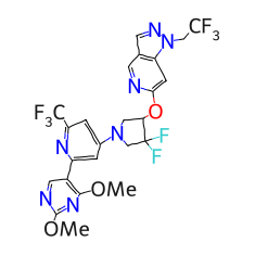 COc1ncc(-c2cc(N3CC(Oc4cc5c(cn4)cnn5CC(F)(F)F)C(F)(F)C3)cc(C(F)(F)F)n2)c(OC)n1